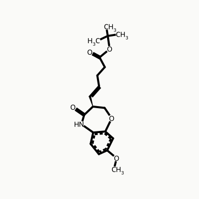 COc1ccc2c(c1)OC[C@H](/C=C/CCC(=O)OC(C)(C)C)C(=O)N2